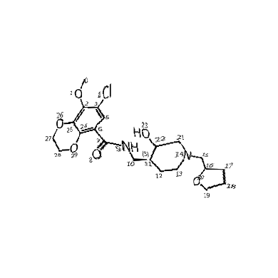 COc1c(Cl)cc(C(=O)NC[C@@H]2CCN(CC3CCCO3)CC2O)c2c1OCCO2